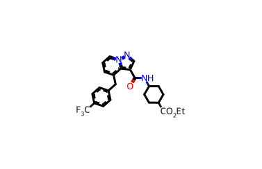 CCOC(=O)C1CCC(NC(=O)c2cnn3cccc(Cc4ccc(C(F)(F)F)cc4)c23)CC1